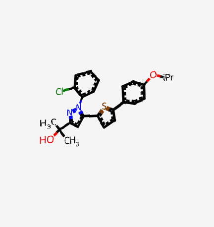 CC(C)Oc1ccc(-c2ccc(-c3cc(C(C)(C)O)nn3-c3ccccc3Cl)s2)cc1